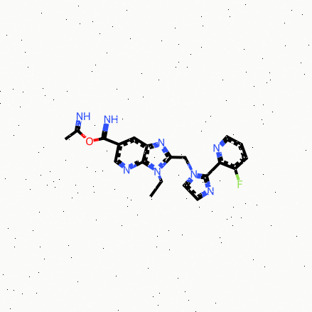 CCn1c(Cn2ccnc2-c2ncccc2F)nc2cc(C(=N)OC(C)=N)cnc21